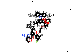 Cc1cc(F)cc(-c2cc(C(C)(C)CC(C)(C)C)cc(N)c2OC2CCCCO2)c1OCCCOc1c(C)cc(F)cc1-c1cc(C(C)(C)CC(C)(C)C)cc(-n2c3cc(C(C)(C)C)ccc3c3ccc(C(C)(C)C)cc32)c1OC1CCCCO1